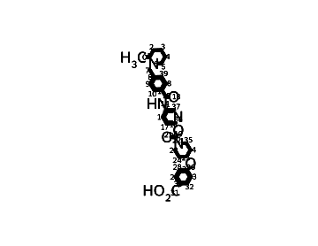 CC1CCCCN1Cc1ccc(C(=O)Nc2ccc(OC(=O)N3CCC(Oc4ccc(C(=O)O)cc4)CC3)nc2)cc1